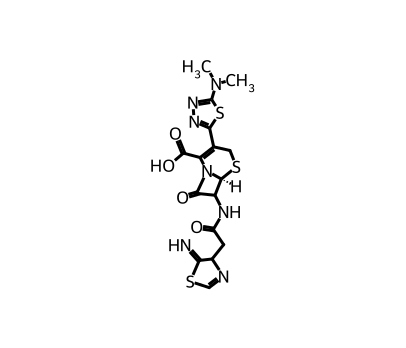 CN(C)c1nnc(C2=C(C(=O)O)N3C(=O)C(NC(=O)CC4N=CSC4=N)[C@@H]3SC2)s1